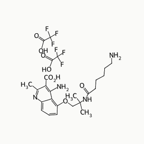 Cc1nc2cccc(OCC(C)(C)NC(=O)CCCCCN)c2c(N)c1C(=O)O.O=C(O)C(F)(F)F.O=C(O)C(F)(F)F